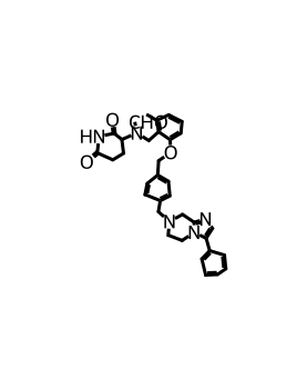 Cc1cccc(OCc2ccc(CN3CCn4c(-c5ccccc5)cnc4C3)cc2)c1CN(C=O)C1CCC(=O)NC1=O